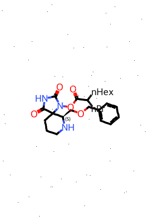 CCCCCCC(CCC)C(=O)ON1C(=O)NC(=O)C12CCCN[C@@H]2COCc1ccccc1